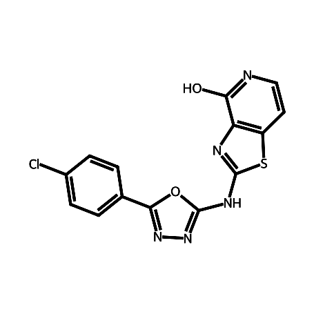 Oc1nccc2sc(Nc3nnc(-c4ccc(Cl)cc4)o3)nc12